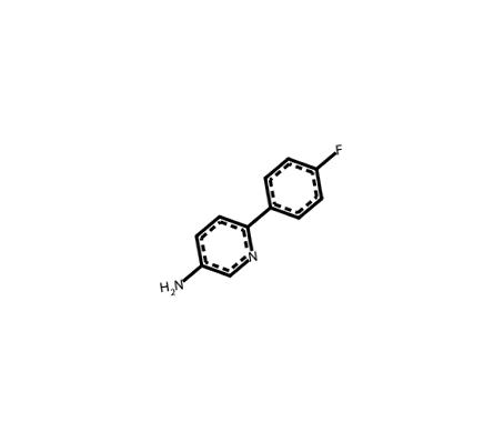 Nc1ccc(-c2ccc(F)cc2)nc1